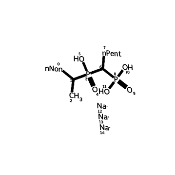 CCCCCCCCCC(C)P(=O)(O)C(CCCCC)P(=O)(O)O.[Na].[Na].[Na]